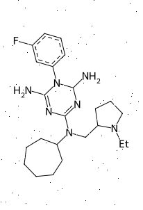 CCN1CCCC1CN(C1=NC(N)N(c2cccc(F)c2)C(N)=N1)C1CCCCCC1